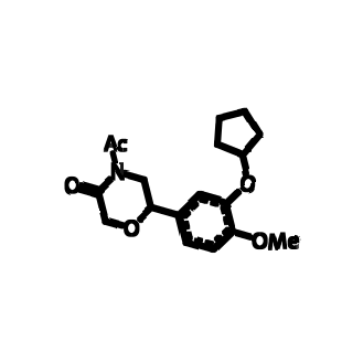 COc1ccc(C2CN(C(C)=O)C(=O)CO2)cc1OC1CCCC1